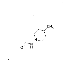 CC1CCN(NC=O)CC1